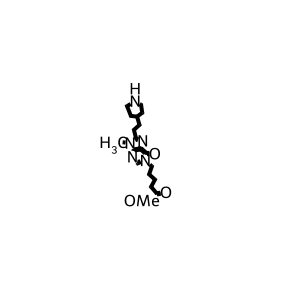 COC(=O)CCCCn1cnc2c(nc(CCC3CCNCC3)n2C)c1=O